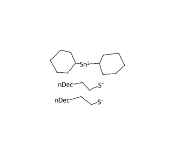 C1CC[CH]([Sn+2][CH]2CCCCC2)CC1.CCCCCCCCCCCC[S-].CCCCCCCCCCCC[S-]